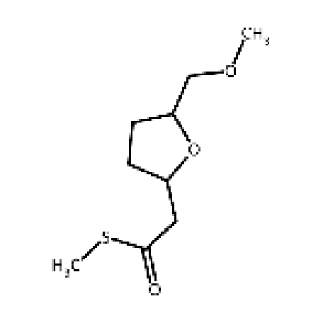 COCC1CCC(CC(=O)SC)O1